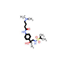 CC(C)S(=O)(=O)NCC(C)(O)c1ccc(NC(=O)CCCN(C)C)cc1